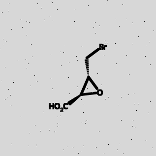 O=C(O)[C@@H]1O[C@H]1CBr